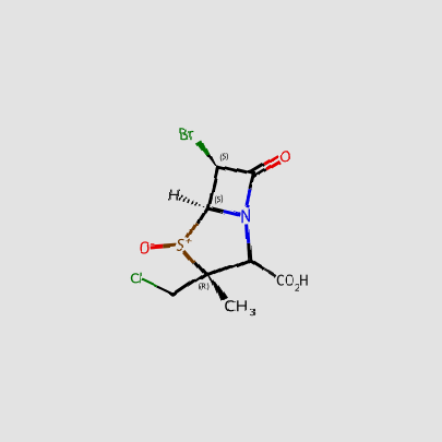 C[C@]1(CCl)C(C(=O)O)N2C(=O)[C@H](Br)[C@@H]2[S+]1[O-]